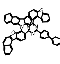 C1=CCCC(c2ccc(-c3nc(-c4ccc5c(oc6ccc7ccccc7c65)c4-n4c5ccccc5c5cc6ccccc6cc54)nc(-c4cccc5sc6ccccc6c45)n3)cc2)=C1